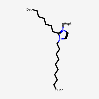 CCCCCCCCCCCCCCCCCCCn1cc[n+](CCCCCCC)c1CCCCCCCCCCCCCCCC